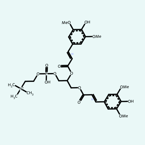 COc1cc(/C=C/C(=O)OCC(COP(=O)(O)OCC[N+](C)(C)C)OC(=O)/C=C/c2cc(OC)c(O)c(OC)c2)cc(OC)c1O